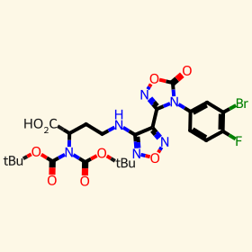 CC(C)(C)OC(=O)N(C(=O)OC(C)(C)C)C(CCNc1nonc1-c1noc(=O)n1-c1ccc(F)c(Br)c1)C(=O)O